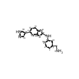 NCc1ccnc(Nc2nc3ccc(-c4cn[nH]c4)nc3s2)c1